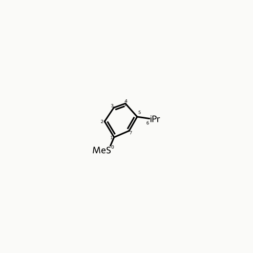 CSc1cc[c]c(C(C)C)c1